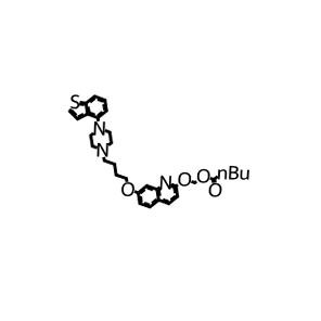 CCCCC(=O)OCOc1ccc2ccc(OCCCCN3CCN(c4cccc5sccc45)CC3)cc2n1